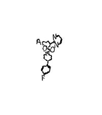 CC(=O)CC(c1ncccn1)S(=O)(=O)N1CCC(c2ccc(F)cc2)CC1